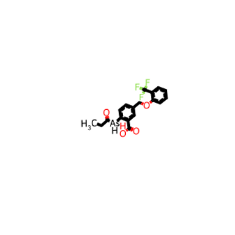 CCC(=O)[AsH]c1ccc(COc2ccccc2C(F)(F)F)cc1C(=O)O